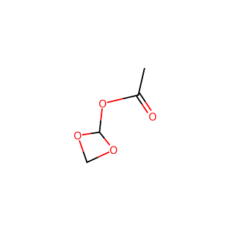 CC(=O)OC1OCO1